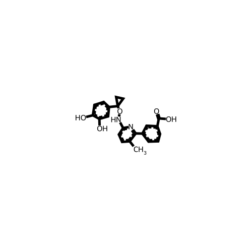 Cc1ccc(NOC2(c3ccc(O)c(O)c3)CC2)nc1-c1cccc(C(=O)O)c1